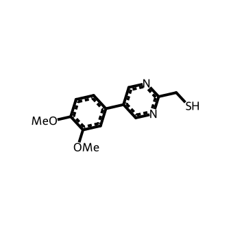 COc1ccc(-c2cnc(CS)nc2)cc1OC